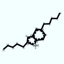 CCCCCc1ccc2[nH]c(CCCCC)cc2c1